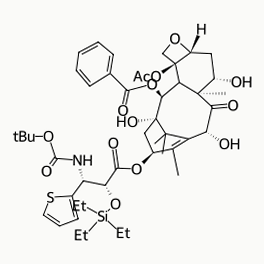 CC[Si](CC)(CC)O[C@@H](C(=O)O[C@H]1C[C@@]2(O)[C@@H](OC(=O)c3ccccc3)C3[C@](C)(C(=O)[C@H](O)C(=C1C)C2(C)C)[C@@H](O)C[C@H]1OC[C@@]31OC(C)=O)[C@@H](NC(=O)OC(C)(C)C)c1cccs1